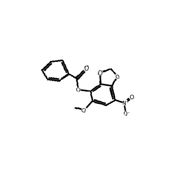 COc1cc([N+](=O)[O-])c2c(c1OC(=O)c1ccccc1)OCO2